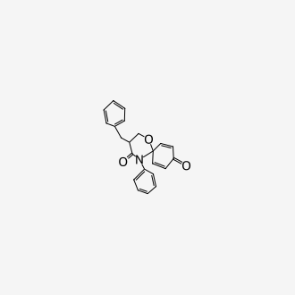 O=C1C=CC2(C=C1)OCC(Cc1ccccc1)C(=O)N2c1ccccc1